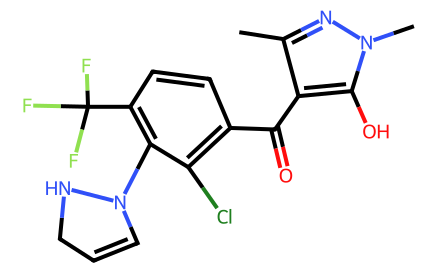 Cc1nn(C)c(O)c1C(=O)c1ccc(C(F)(F)F)c(N2C=CCN2)c1Cl